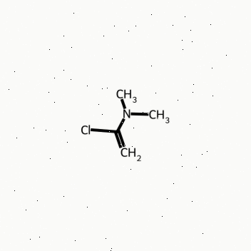 C=C(Cl)N(C)C